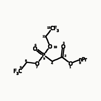 CCCOC(=O)CP(=O)(OCC(F)(F)F)OCC(F)(F)F